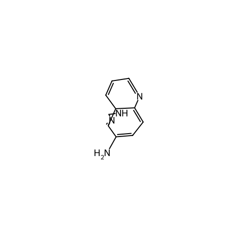 NC1=CC=C2N=CC=CC23NCN=C13